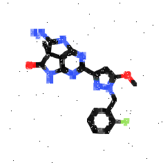 COc1cc(-c2nc3c4c(n2)NC(=O)C4(C)C(N)=N3)nn1Cc1ccccc1F